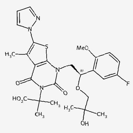 COc1ccc(F)cc1[C@H](Cn1c(=O)n(C(C)(C)C(=O)O)c(=O)c2c(C)c(-n3cccn3)sc21)OCC(C)(C)O